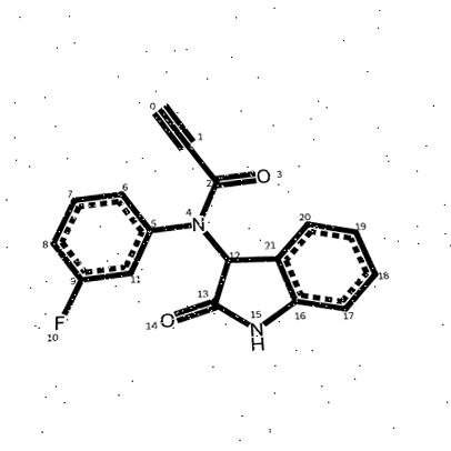 C#CC(=O)N(c1cccc(F)c1)C1C(=O)Nc2ccccc21